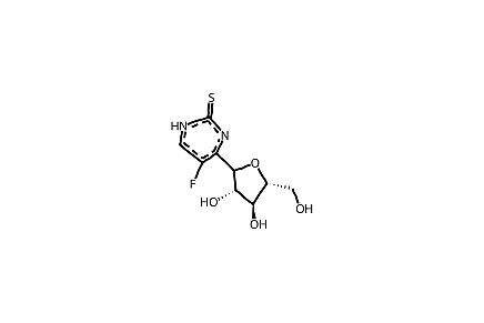 OC[C@H]1OC(c2nc(=S)[nH]cc2F)[C@@H](O)[C@@H]1O